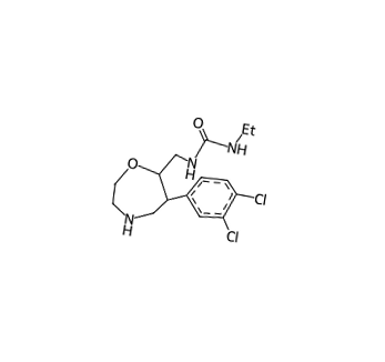 CCNC(=O)NCC1OCCNCC1c1ccc(Cl)c(Cl)c1